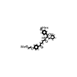 CCCCCCOc1ccc([C@@H](O)[C@@H](CN2CCCC2)NC(=O)CCCC(=O)c2ccc(OCCOC)cc2)cc1